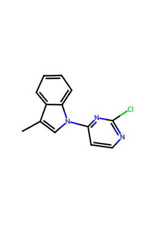 Cc1cn(-c2ccnc(Cl)n2)c2ccccc12